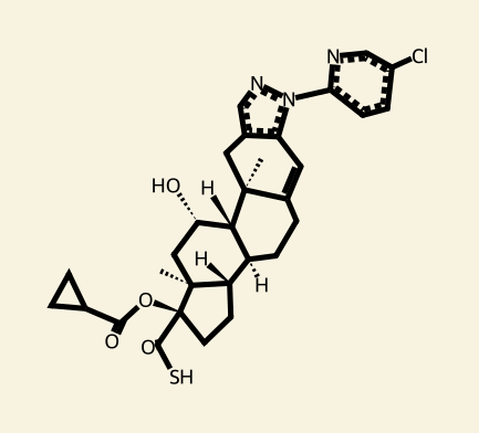 C[C@]12Cc3cnn(-c4ccc(Cl)cn4)c3C=C1CC[C@@H]1[C@@H]2[C@@H](O)C[C@@]2(C)[C@H]1CC[C@]2(OC(=O)C1CC1)C(=O)S